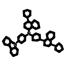 c1ccc(-c2ccc(-c3ccc(N(c4ccc(-n5c6ccccc6c6ccccc65)cc4)c4ccc(-c5ccccc5)c5ccccc45)cc3)c3ccccc23)cc1